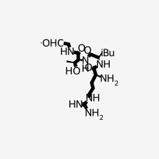 CC[C@H](C)[C@H](NC(=O)[C@@H](N)CCCNC(=N)N)C(=O)N[C@H](C(=O)NC[C]=O)[C@H](C)O